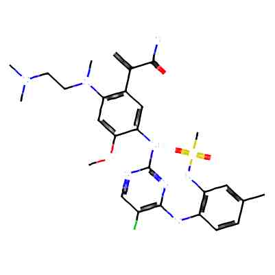 C=C(C(N)=O)c1cc(Nc2ncc(Cl)c(Nc3ccc(C)cc3NS(C)(=O)=O)n2)c(OC)cc1N(C)CCN(C)C